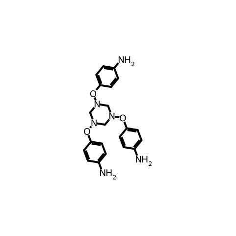 Nc1ccc(ON2CN(Oc3ccc(N)cc3)CN(Oc3ccc(N)cc3)C2)cc1